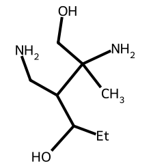 CCC(O)C(CN)C(C)(N)CO